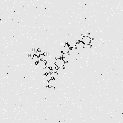 CCOP(=O)(CN1CCN(CC[C@@H](N)CSc2ccccc2)CC1)OCOC(=O)C(C)(C)C